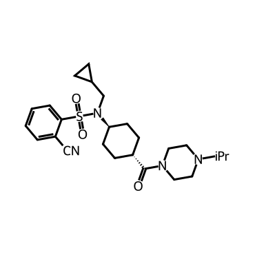 CC(C)N1CCN(C(=O)[C@H]2CC[C@H](N(CC3CC3)S(=O)(=O)c3ccccc3C#N)CC2)CC1